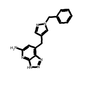 Nc1cc(Cc2cnn(Cc3ccccc3)c2)c2nn[nH]c2n1